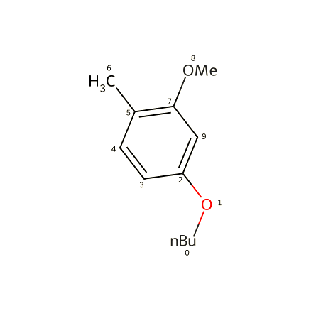 CCCCOc1ccc(C)c(OC)c1